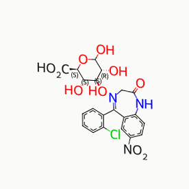 O=C(O)[C@H]1OC(O)[C@H](O)[C@@H](O)[C@@H]1O.O=C1CN=C(c2ccccc2Cl)c2cc([N+](=O)[O-])ccc2N1